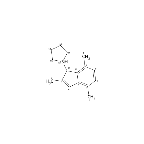 CC1=Cc2c(C)ccc(C)c2C1[SiH]1CCCC1